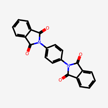 O=C1c2ccccc2C(=O)N1c1ccc(N2C(=O)c3ccccc3C2=O)cc1